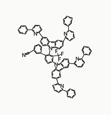 N#Cc1cccc(-c2ccc(-n3c4ccc(-c5cccc(-c6ccccc6)n5)cc4c4cc(-c5cccc(-c6ccccc6)n5)ccc43)c(C(F)(F)F)c2-n2c3ccc(-c4cccc(-c5ccccc5)n4)cc3c3cc(-c4cccc(-c5ccccc5)n4)ccc32)c1